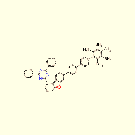 Bc1c(B)c(B)c(-c2ccc(-c3ccc(-c4ccc5c(c4)oc4cccc(-c6nc(-c7ccccc7)nc(-c7ccccc7)n6)c45)cc3)cc2)c(B)c1B